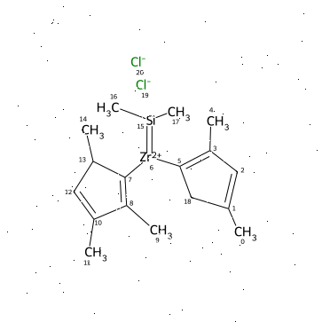 CC1=CC(C)=[C]([Zr+2]([C]2=C(C)C(C)=CC2C)=[Si](C)C)C1.[Cl-].[Cl-]